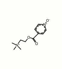 C[N+](C)(C)CCOC(=O)c1cc[n+]([O-])cc1